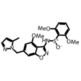 COc1cccc(OC)c1[S+]([O-])Nc1noc2cc(Cn3nccc3C)cc(OC)c12